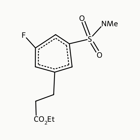 CCOC(=O)CCc1cc(F)cc(S(=O)(=O)NC)c1